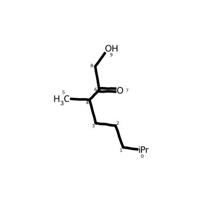 CC(C)CCCC(C)C(=O)CO